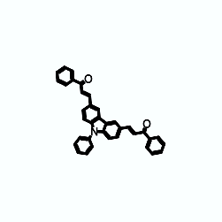 O=C(/C=C/c1ccc2c(c1)c1cc(/C=C/C(=O)c3ccccc3)ccc1n2-c1ccccc1)c1ccccc1